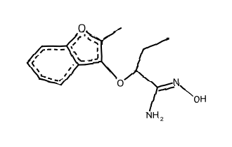 CCC(Oc1c(C)oc2ccccc12)C(N)=NO